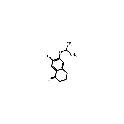 CC(Oc1cc2c(cc1F)C(=O)CCC2)C(F)(F)F